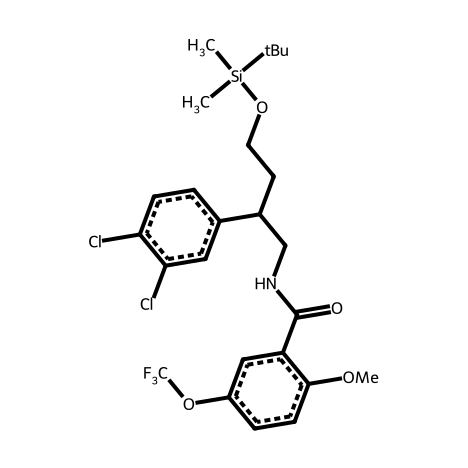 COc1ccc(OC(F)(F)F)cc1C(=O)NCC(CCO[Si](C)(C)C(C)(C)C)c1ccc(Cl)c(Cl)c1